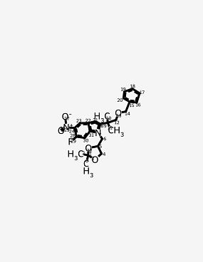 CC1(C)OCC(Cn2c(C(C)(C)COCc3ccccc3)cc3cc([N+](=O)[O-])c(F)cc32)O1